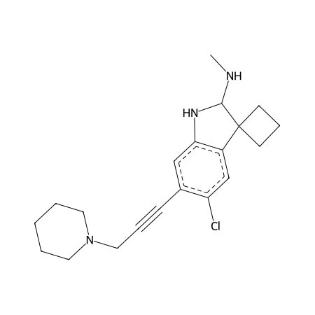 CNC1Nc2cc(C#CCN3CCCCC3)c(Cl)cc2C12CCC2